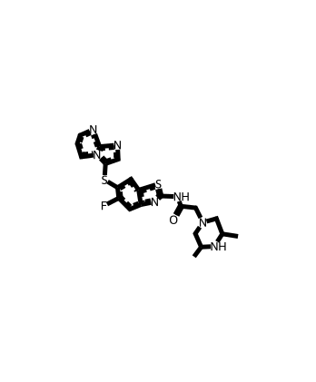 CC1CN(CC(=O)Nc2nc3cc(F)c(Sc4cnc5ncccn45)cc3s2)CC(C)N1